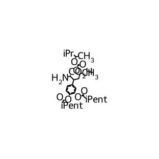 CCCC(C)C(=O)Oc1ccc(C(CC(C)OC(=O)OC(C)C(C)C)[C@H](N)C(=O)O)cc1OC(=O)C(C)CCC